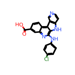 O=C(O)c1ccc2c(c1)nc(Nc1ccc(Cl)cc1)c1[nH]c3ccncc3c12